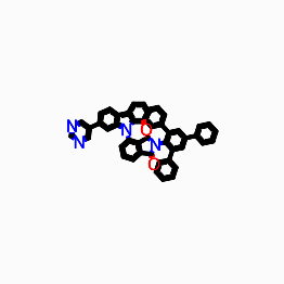 O=C1c2cccc(-n3c4ccccc4c4ccc(-c5cncnc5)cc43)c2C(=O)N1c1c(-c2ccccc2)cc(-c2ccccc2)cc1-c1ccccc1